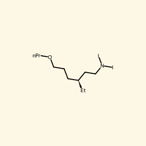 CCCOCCC[C@H](CC)CCN(I)I